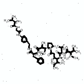 CCC(C)C(C(CC(=O)N1CCC[C@H]1C(OC)C(C)C(=O)N[C@@H](Cc1ccccc1)C(=O)NCCc1ccc(NC(=O)CNC(=O)[C@H](N)C(C)C)cc1)OC)N(C)C(=O)[C@@H](NC(=O)C(C(C)C)N(C)C)C(C)C